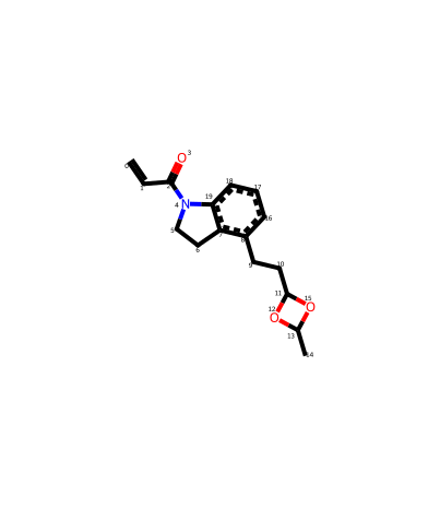 C=CC(=O)N1CCc2c(CCC3OC(C)O3)cccc21